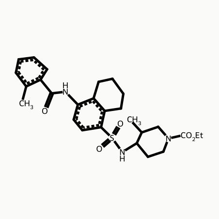 CCOC(=O)N1CCC(NS(=O)(=O)c2ccc(NC(=O)c3ccccc3C)c3c2CCCC3)C(C)C1